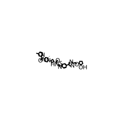 Cc1ccnc(C(=O)N2CCN([C@H]3C[C@@H](C(=O)Nc4nc5ccc(-c6cnc(CO[C@H]7CCC[C@@H]7O)nc6)cc5s4)C3)[C@@H](C)C2)c1